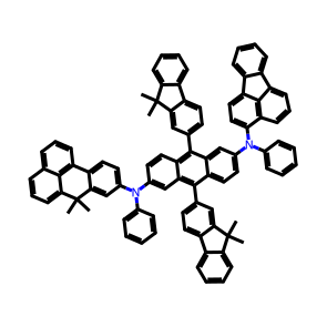 CC1(C)c2ccccc2-c2ccc(-c3c4ccc(N(c5ccccc5)c5ccc6c7c(cccc57)-c5ccccc5-6)cc4c(-c4ccc5c(c4)C(C)(C)c4ccccc4-5)c4ccc(N(c5ccccc5)c5ccc6c(c5)C(C)(C)c5cccc7cccc-6c57)cc34)cc21